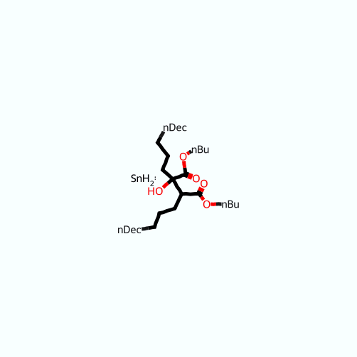 CCCCCCCCCCCCCC(C(=O)OCCCC)C(O)(CCCCCCCCCCCCC)C(=O)OCCCC.[SnH2]